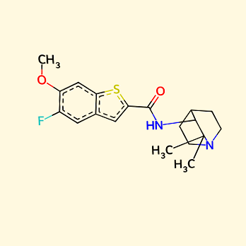 COc1cc2sc(C(=O)NC3C4CCN(CC4)C3(C)C)cc2cc1F